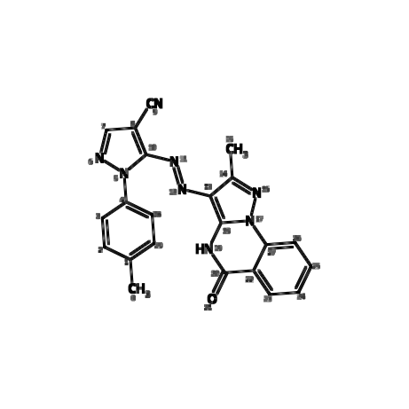 Cc1ccc(-n2ncc(C#N)c2/N=N/c2c(C)nn3c2[nH]c(=O)c2ccccc23)cc1